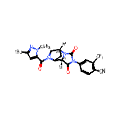 Cn1nc(C(C)(C)C)cc1C(=O)N1C[C@H]2CC1[C@H]1C(=O)N(c3ccc(C#N)c(C(F)(F)F)c3)C(=O)N21